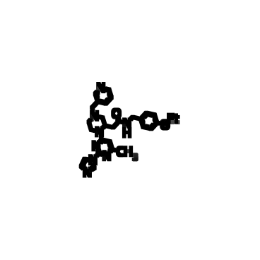 CCOc1ccc(CNC(=O)CC2CN(Cc3cccnc3)CCN2c2cc(C)nc(-n3ccnc3)n2)cc1